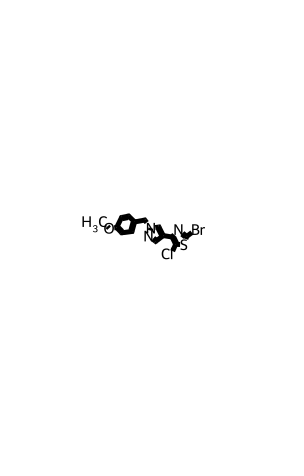 COc1ccc(Cn2cc(-c3nc(Br)sc3Cl)cn2)cc1